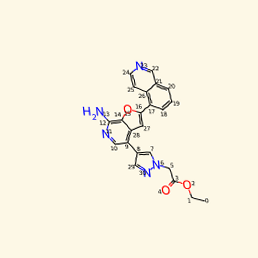 CCOC(=O)Cn1cc(-c2cnc(N)c3oc(-c4cccc5cnccc45)cc23)cn1